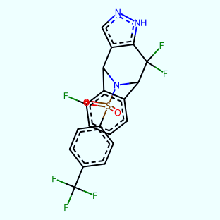 O=S(=O)(c1ccc(C(F)(F)F)cc1)N1C2c3cn[nH]c3C(F)(F)C1c1cccc(F)c12